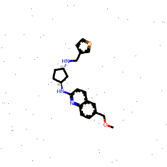 COCc1ccc2nc(N[C@H]3CC[C@H](NCc4ccsc4)C3)ccc2c1